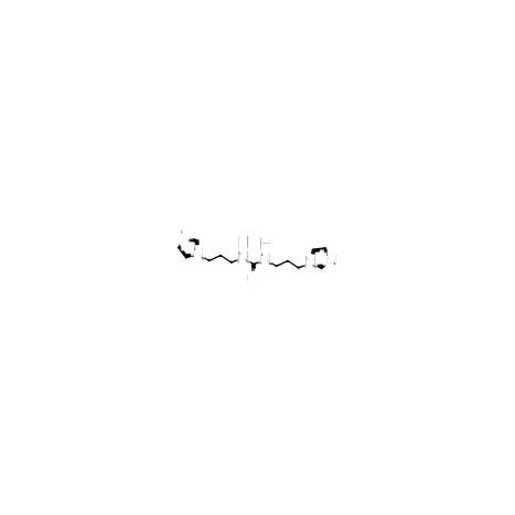 O=C(NCCCn1ccnc1)NCCCn1ccnc1